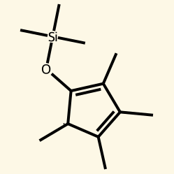 C[C]1C(C)=C(C)C(C)=C1O[Si](C)(C)C